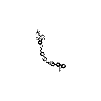 CCC(=O)CCC(C(C)=O)N1C(=O)c2ccc(OCCCc3ccc(N4CCN(CCCC5C=CC(c6ccc7c(c6)[nH]c6ccncc67)=CN5)CC4)nc3)cc2C1=O